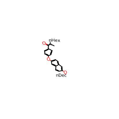 CCCCCCCCCCOc1ccc2cc(Oc3ccc(C(=O)[C@H](C)CCCCCC)cc3)ccc2c1